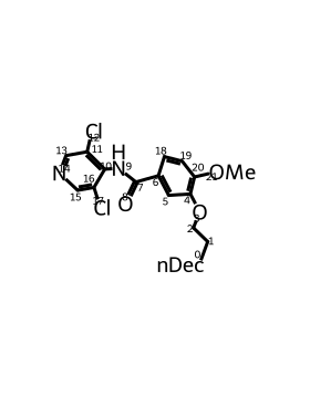 CCCCCCCCCCCCOc1cc(C(=O)Nc2c(Cl)cncc2Cl)ccc1OC